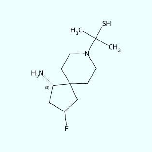 CC(C)(S)N1CCC2(CC1)CC(F)C[C@@H]2N